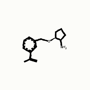 C=C(C)c1cccc(CO[C@H]2CCCC2N)c1